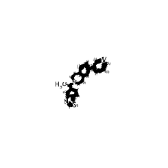 C[C@H](c1ccc2scnc2c1)N1CCc2ccc(-c3cccnc3)cc2CC1